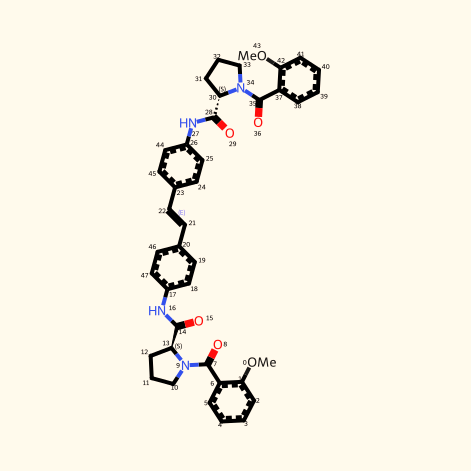 COc1ccccc1C(=O)N1CCC[C@H]1C(=O)Nc1ccc(/C=C/c2ccc(NC(=O)[C@@H]3CCCN3C(=O)c3ccccc3OC)cc2)cc1